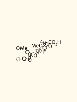 COc1ccc2c(c1)c(CC(=O)N1CCN(c3c(F)cc4c(=O)c(C(=O)O)cn(C5CC5)c4c3OC)CC1C)c(C)n2C(=O)c1ccc(Cl)cc1